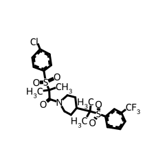 CC(C)(C(=O)N1CCC(C(C)(C)S(=O)(=O)c2cccc(C(F)(F)F)c2)CC1)S(=O)(=O)c1ccc(Cl)cc1